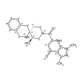 Cc1nn(C)c2[nH]c(C(=O)N3CC[C@]4(Cc5ccccc5CN4)[C@H](O)C3)cc(=O)c12